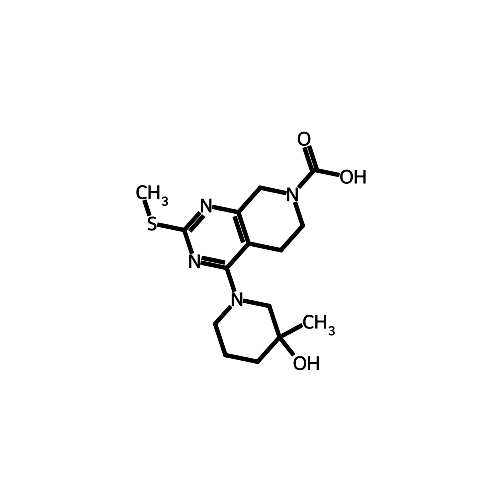 CSc1nc2c(c(N3CCCC(C)(O)C3)n1)CCN(C(=O)O)C2